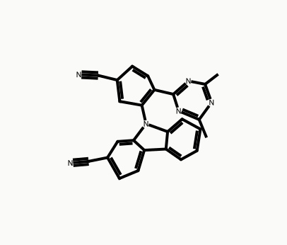 Cc1nc(C)nc(-c2ccc(C#N)cc2-n2c3ccccc3c3ccc(C#N)cc32)n1